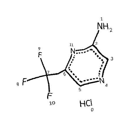 Cl.Nc1cncc(C(F)(F)F)n1